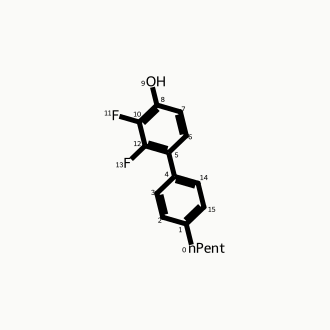 CCCCCc1ccc(-c2ccc(O)c(F)c2F)cc1